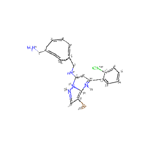 NCc1cccc(CNc2cc(-c3ccccc3Cl)nc3c(Br)cnn23)c1